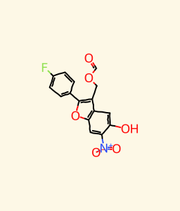 O=COCc1c(-c2ccc(F)cc2)oc2cc([N+](=O)[O-])c(O)cc12